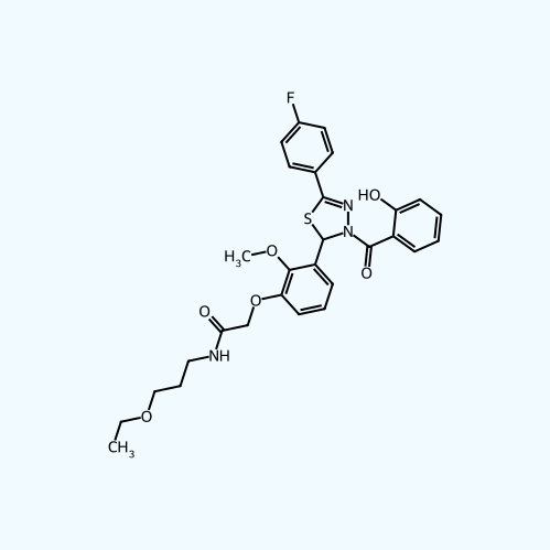 CCOCCCNC(=O)COc1cccc(C2SC(c3ccc(F)cc3)=NN2C(=O)c2ccccc2O)c1OC